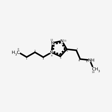 CCCCn1cc(CCNC)nn1